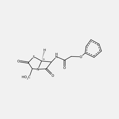 O=C(COc1ccccc1)NC1C(=O)N2C(C(=O)O)C(=O)S[C@@H]12